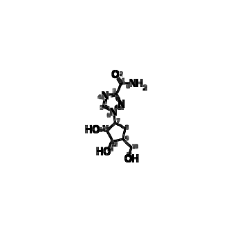 NC(=O)c1ncn(C2CC(CO)C(O)C2O)n1